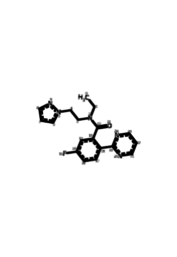 CCN(CCn1cccn1)C(=O)c1cc(F)ccc1-c1ncccn1